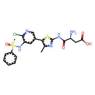 Cc1nc(NC(=O)[C@@H](N)CC(=O)O)sc1-c1cnc(Cl)c(N[SH](C)(=O)c2ccccc2)c1